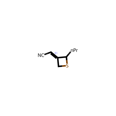 CCCC1SC/C1=C\C#N